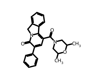 CC1CN(C(=O)c2cc(-c3ccccc3)c(=O)n3c2-c2ccccc2C3)CC(C)O1